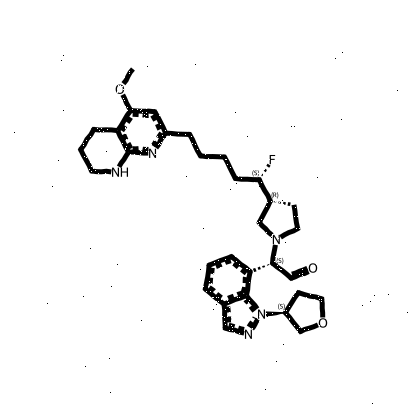 COc1cc(CCCC[C@H](F)[C@@H]2CCN([C@H](C=O)c3cccc4cnn([C@H]5CCOC5)c34)C2)nc2c1CCCN2